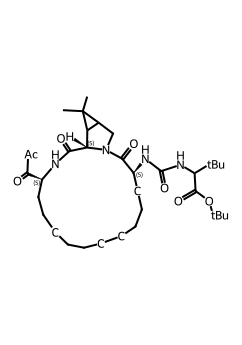 CC(=O)C(=O)[C@@H]1CCCCCCCCCC[C@H](NC(=O)NC(C(=O)OC(C)(C)C)C(C)(C)C)C(=O)N2CC3C([C@H]2C(=O)N1)C3(C)C